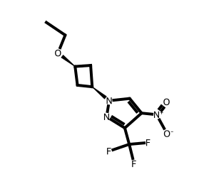 CCO[C@H]1C[C@@H](n2cc([N+](=O)[O-])c(C(F)(F)F)n2)C1